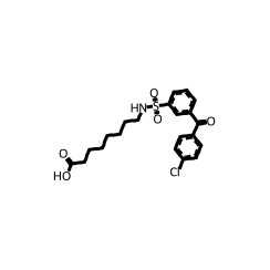 O=C(O)CCCCCCCNS(=O)(=O)c1cccc(C(=O)c2ccc(Cl)cc2)c1